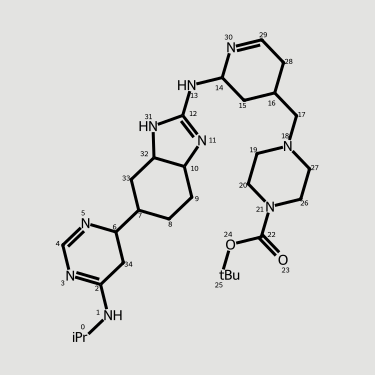 CC(C)NC1=NC=NC(C2CCC3N=C(NC4CC(CN5CCN(C(=O)OC(C)(C)C)CC5)CC=N4)NC3C2)C1